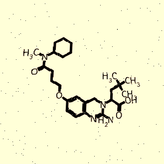 CN(C(=O)CCCOc1ccc2c(c1)CN(C(CC(C)(C)C)C(=O)O)C(N)=N2)C1CCCCC1